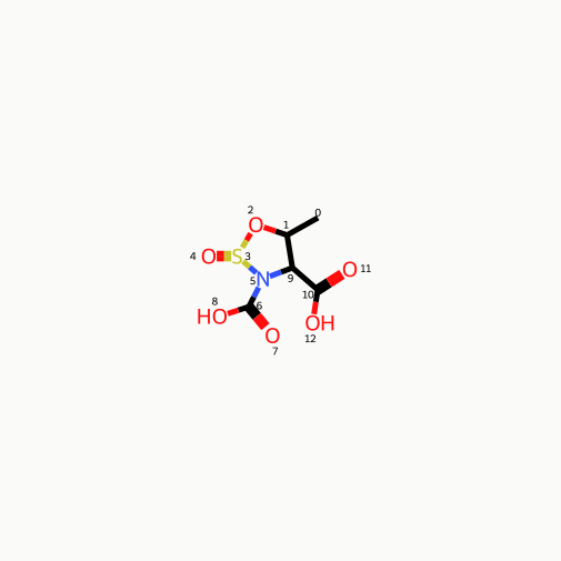 CC1OS(=O)N(C(=O)O)C1C(=O)O